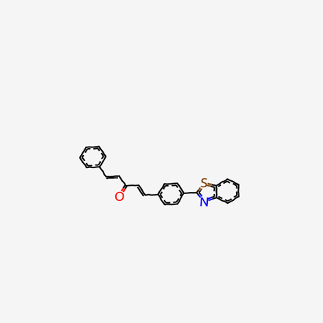 O=C(C=Cc1ccccc1)C=Cc1ccc(-c2nc3ccccc3s2)cc1